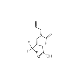 C=C/C=C(\C=C(/CC(=O)O)C(F)(F)F)C(=C)F